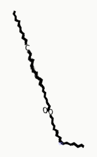 CCCCCC/C=C\CCCCCCCCOC(=O)CCCCCCCCCCCCCCCCCCCCCCCCCCCCCCC